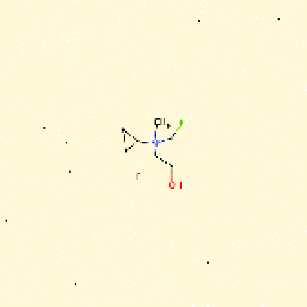 C[N+](CF)(CCO)C1CC1.[I-]